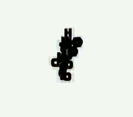 CCCCc1nc(Cl)c(C(=O)OCOC(C)=O)n1Cc1ccc(-c2ccccc2-c2nnn[nH]2)cc1